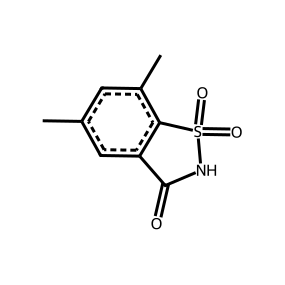 Cc1cc(C)c2c(c1)C(=O)NS2(=O)=O